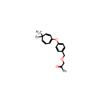 CCC1(C)C=CC=C(Oc2ccc(COCC(=O)C(C)C)cc2)C=C1